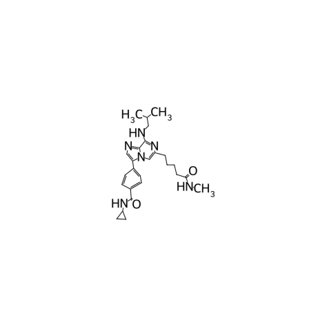 CNC(=O)CCCCc1cn2c(-c3ccc(C(=O)NC4CC4)cc3)cnc2c(NCC(C)C)n1